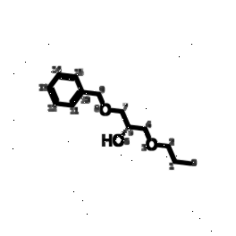 CCCOC[C@H](O)COCc1ccccc1